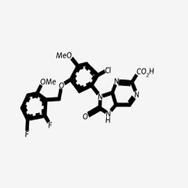 COc1cc(Cl)c(N2C(=O)NC3C=NC(C(=O)O)=NC32)cc1OCc1c(OC)ccc(F)c1F